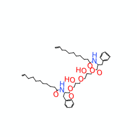 C=CCCCCCCCCC(=O)NC(Cc1ccccc1)C(=O)OCC(O)COCC(O)COC(=O)C(Cc1ccccc1)NC(=O)CCCCCCCCC=C